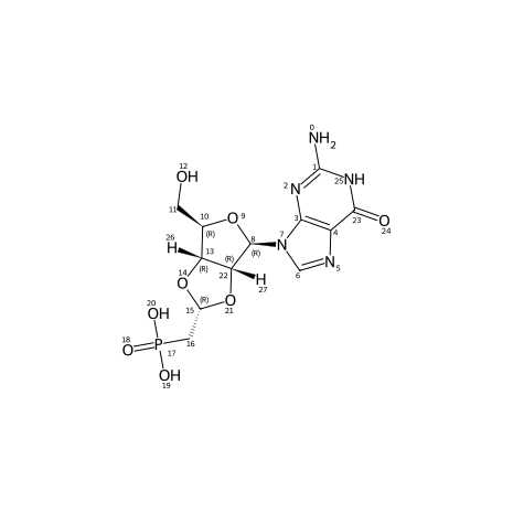 Nc1nc2c(ncn2[C@@H]2O[C@H](CO)[C@H]3O[C@@H](CP(=O)(O)O)O[C@H]32)c(=O)[nH]1